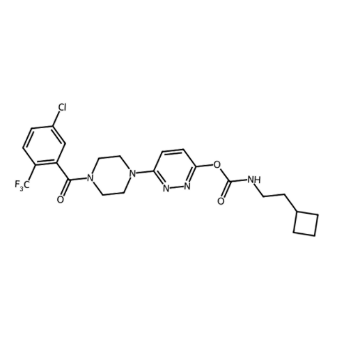 O=C(NCCC1CCC1)Oc1ccc(N2CCN(C(=O)c3cc(Cl)ccc3C(F)(F)F)CC2)nn1